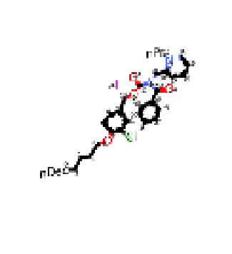 CCCCCCCCCCCCCCOc1ccc(COC(=O)N(Cc2cccc[n+]2CCC)C(=O)c2ccccc2)cc1Cl.[I-]